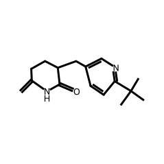 C=C1CCC(Cc2ccc(C(C)(C)C)nc2)C(=O)N1